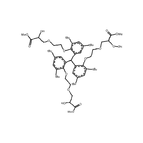 COC(=O)C(O)COCCOc1c(C(c2cc(C(C)(C)C)cc(C(C)(C)C)c2OCCOCC(O)C(=O)OC)c2cc(C(C)(C)C)cc(C(C)(C)C)c2OCCOCC(OO)C(=O)OC)cc(C(C)(C)C)cc1C(C)(C)C